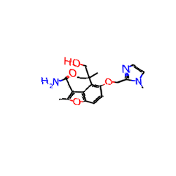 Cc1oc2ccc(OCc3nccn3C)c(C(C)(C)CO)c2c1C(N)=O